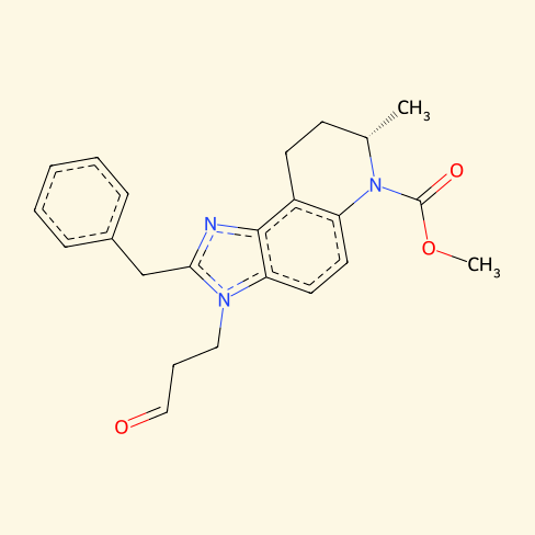 COC(=O)N1c2ccc3c(nc(Cc4ccccc4)n3CCC=O)c2CC[C@@H]1C